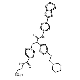 O=C(NCCS(=O)(=O)O)c1ccc(CC(C(=O)Nc2ccc(-c3cc4ccccc4o3)cc2)c2ccc(CCC3CCCCC3)cc2)cc1